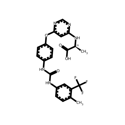 Cc1ccc(NC(=O)Nc2ccc(Oc3cc(N[C@@H](C)C(=O)O)ncn3)cc2)cc1C(F)(F)F